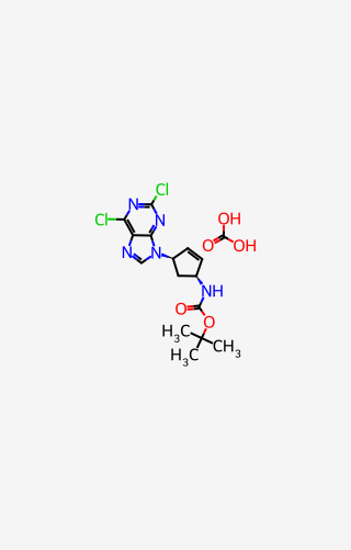 CC(C)(C)OC(=O)N[C@@H]1C=C[C@H](n2cnc3c(Cl)nc(Cl)nc32)C1.O=C(O)O